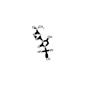 C#CC(CCC)(CCC)N1CC(O)N(c2nnc([S+](C)[O-])s2)C1=O